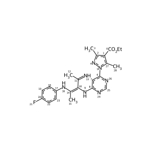 CCOC(=O)c1c(C)nn(-c2cc(N/C(C(C)=N)=C(\C)Nc3ccc(F)cc3)ncn2)c1C